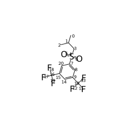 CC(C)CS(=O)(=O)c1cc(C(F)(F)F)cc(C(F)(F)F)c1